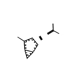 C=C.Clc1ccc2cc1-2.O=C(O)O